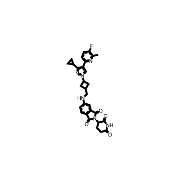 Cc1nc(-c2cn(C3CC(CNc4ccc5c(c4)C(=O)N(C4CCC(=O)NC4=O)C5=O)C3)nc2C2CC2)ccc1F